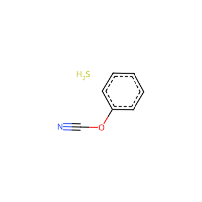 N#COc1ccccc1.S